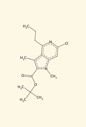 CCCc1nc(Cl)cc2c1c(C)c(C(=O)OC(C)(C)C)n2C